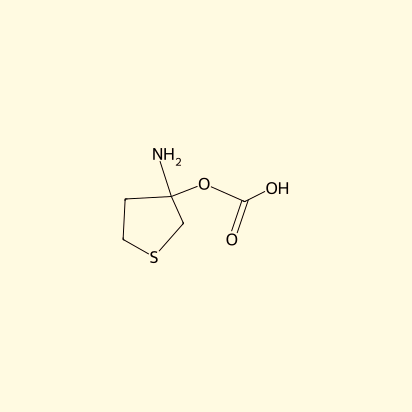 NC1(OC(=O)O)CCSC1